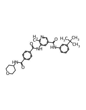 Cc1ncc(C(=O)Nc2cccc(C(C)(C)C)c2)cc1NC(=O)c1ccc(C(=O)NC2CCOCC2)cc1